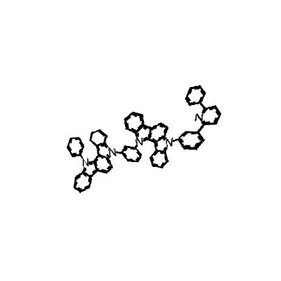 C1=Cc2c(c3c(ccc4c5ccccc5n(-c5ccccc5)c43)n2-c2cccc(-n3c4ccccc4c4ccc5c(c6ccccc6n5-c5cccc(-c6cccc(-c7ccccc7)n6)c5)c43)c2)CC1